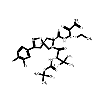 CCC[C@H](NC(=O)[C@@H]1C[C@]2(CC(c3ccc(F)c(Cl)c3)=NO2)CN1C(=O)[C@@H](NC(=O)OC(C)(C)C)C(C)(C)C)C(=O)C(N)=O